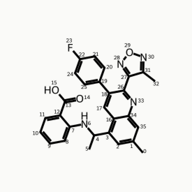 Cc1cc(C(C)Nc2ccccc2C(=O)O)c2cc(-c3ccc(F)cc3)c(-c3nonc3C)nc2c1